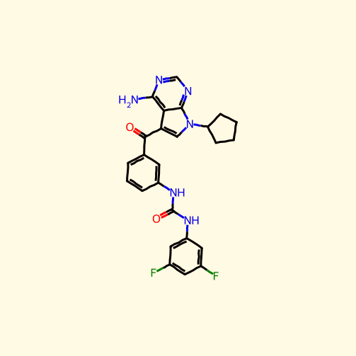 Nc1ncnc2c1c(C(=O)c1cccc(NC(=O)Nc3cc(F)cc(F)c3)c1)cn2C1CCCC1